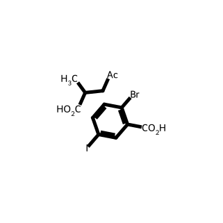 CC(=O)CC(C)C(=O)O.O=C(O)c1cc(I)ccc1Br